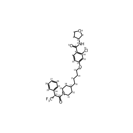 O=C(N[C@H]1CCOC1)c1ccc(OCCCCC2CCN(C(=O)[C@H](c3ccccc3)C(F)(F)F)CC2)cc1Cl